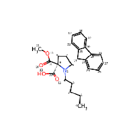 CCCCCN1CCC[C@]1(C(=O)O)C(=O)OC.c1ccc2c(c1)Cc1ccccc1-2